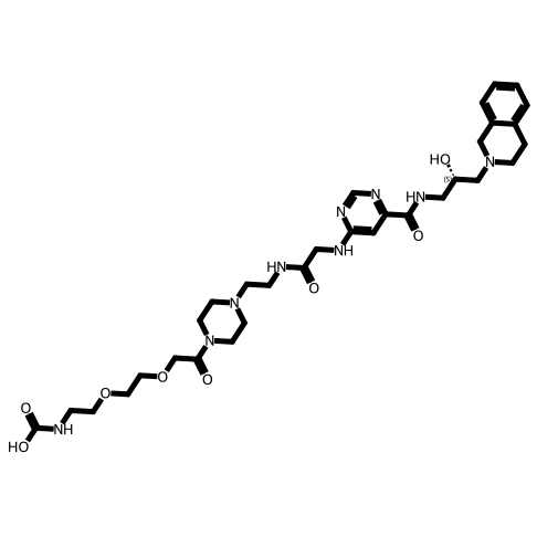 O=C(O)NCCOCCOCC(=O)N1CCN(CCNC(=O)CNc2cc(C(=O)NC[C@H](O)CN3CCc4ccccc4C3)ncn2)CC1